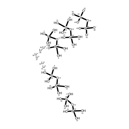 O[Si](O)(O)O[Si](O)(O)O.O[Si](O)(O)O[Si](O)(O)O.O[Si](O)(O)O[Si](O)(O)O.O[Si](O)(O)O[Si](O)(O)O.[Li+].[Li+].[Li+].[Li+].[Li+].[Li+].[O-][Si]([O-])([O-])O[Si]([O-])([O-])[O-]